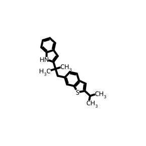 CC(C)c1cc2ccc(CC(C)(C)c3cc4ccccc4[nH]3)cc2s1